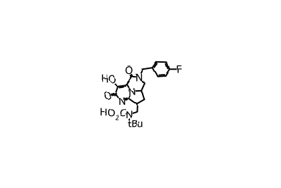 CC(C)(C)N(CC1CC2CN(Cc3ccc(F)cc3)C(=O)c3c(O)c(=O)nc1n32)C(=O)O